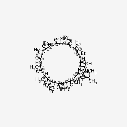 C/C=C/C[C@@H](C)[C@@H](O)[C@H]1C(=O)N[C@@H](CC)C(=O)N(C)CC(=O)N(C)[C@@H](CC(C)C)C(=O)N[C@@H](C(C)C)C(=O)N(C)[C@@H](CC(C)C)C(=O)N[C@@H](C)C(=O)N[C@H](C)C(=O)N(C)[C@@H](CCC(C)C)C(=O)N(C)[C@@H](CC(C)C)C(=O)N(C)[C@@H](C(C)C)C(=O)N1C